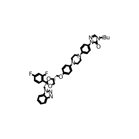 CCC(C)n1cnn(-c2ccc(N3CCN(c4ccc(OC[C@@H]5CO[C@@](Cn6nnc7ccccc76)(c6ccc(F)cc6F)O5)cc4)CC3)cc2)c1=O